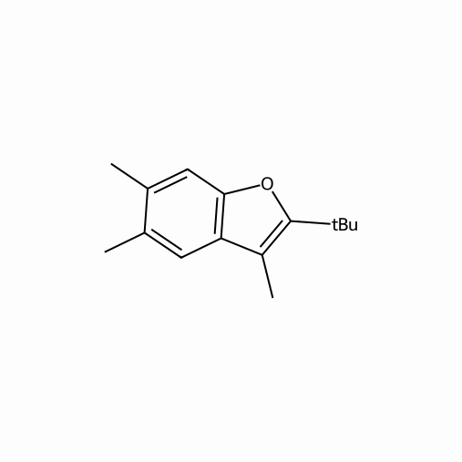 Cc1cc2oc(C(C)(C)C)c(C)c2cc1C